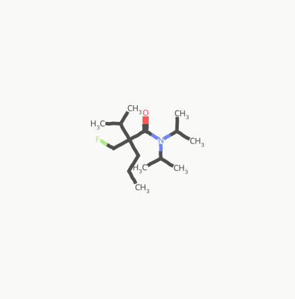 CCCC(CF)(C(=O)N(C(C)C)C(C)C)C(C)C